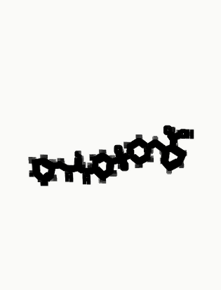 O=C(O)c1ccccc1CN1CCN(S(=O)(=O)c2ccc(NC(=S)NCc3cccnc3)cc2)CC1